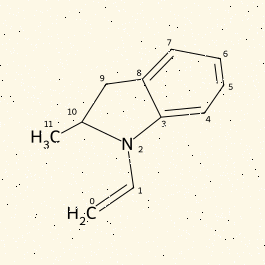 C=CN1c2ccccc2CC1C